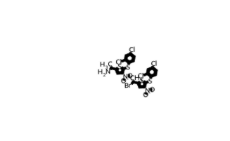 CC(Br)c1cc([N+](=O)[O-])c(Sc2ccc(Cl)cc2Cl)s1.CC(N)c1cc([N+](=O)[O-])c(Sc2ccc(Cl)cc2Cl)s1